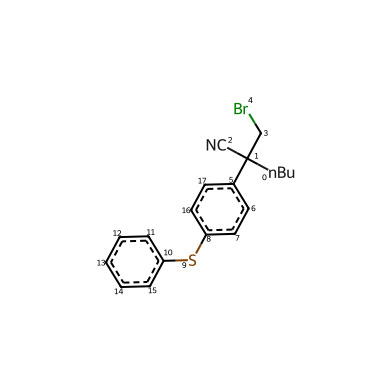 CCCCC(C#N)(CBr)c1ccc(Sc2ccccc2)cc1